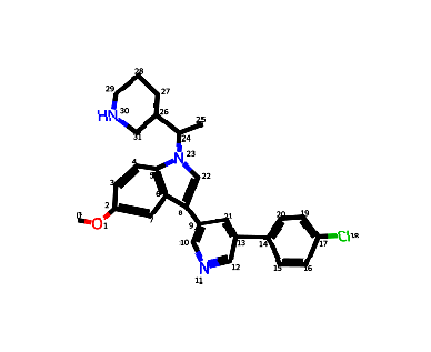 COc1ccc2c(c1)c(-c1cncc(-c3ccc(Cl)cc3)c1)cn2C(C)C1CCCNC1